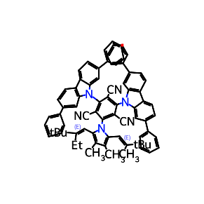 CC/C(=C\c1c(C)c(C)c(/C=C(\C)C(C)(C)C)n1-c1c(C#N)c(-n2c3cc(-c4ccccc4)ccc3c3ccc(-c4ccccc4)cc32)c(C#N)c(-n2c3cc(-c4ccccc4)ccc3c3ccc(-c4ccccc4)cc32)c1C#N)C(C)(C)C